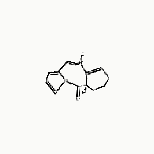 O=C1[C@H]2CCCC=C2[N+]([O-])=Cc2cccn21